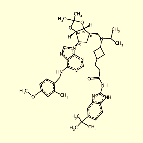 COc1ccc(CNc2ncnc3c2ncn3[C@@H]2C[C@H](CN(C(C)C)C3CC(CCC(=O)Nc4nc5cc(C(C)(C)C)ccc5[nH]4)C3)[C@H]3OC(C)(C)O[C@H]32)c(C)c1